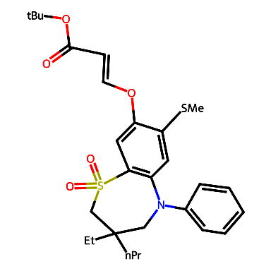 CCCC1(CC)CN(c2ccccc2)c2cc(SC)c(O/C=C/C(=O)OC(C)(C)C)cc2S(=O)(=O)C1